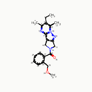 CCc1c(C)nc2c3c(nn2c1C)CN(C(=O)c1ccccc1COC)C3